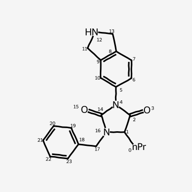 CCCC1C(=O)N(c2ccc3c(c2)CNC3)C(=O)N1Cc1ccccc1